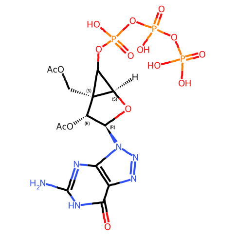 CC(=O)OC[C@]12C(OP(=O)(O)OP(=O)(O)OP(=O)(O)O)[C@H]1O[C@@H](n1nnc3c(=O)[nH]c(N)nc31)[C@@H]2OC(C)=O